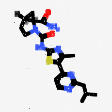 Cc1nc(NC(=O)N2CC[C@@H]3C[C@@]32C(N)=O)sc1-c1ccnc(CC(C)C)n1